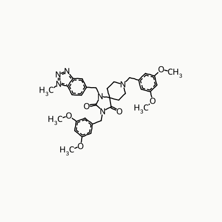 COc1cc(CN2CCC3(CC2)C(=O)N(Cc2cc(OC)cc(OC)c2)C(=O)N3Cc2ccc3c(c2)nnn3C)cc(OC)c1